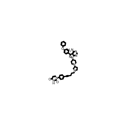 Nc1ncnc2c1c(-c1ccc(Oc3ccccc3)cc1)nn2C1CCN(C2CCN(CCCC#Cc3ccc(-n4ccc(=O)[nH]c4=O)cc3)C2)CC1